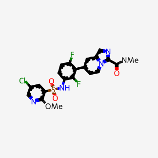 CNC(=O)c1ncc2cc(-c3c(F)ccc(NS(=O)(=O)c4cc(Cl)cnc4OC)c3F)ccn12